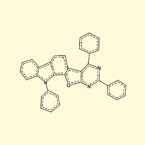 c1ccc(-c2nc(-c3ccccc3)c3c(n2)oc2c3ccc3c4ccccc4n(-c4ccccc4)c32)cc1